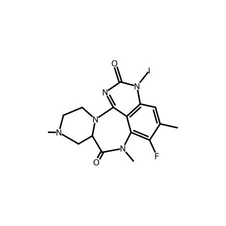 Cc1cc2c3c(nc(=O)n2I)N2CCN(C)CC2C(=O)N(C)c3c1F